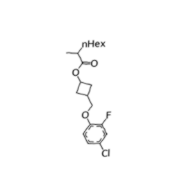 CCCCCCC(C)C(=O)OC1CC(COc2ccc(Cl)cc2F)C1